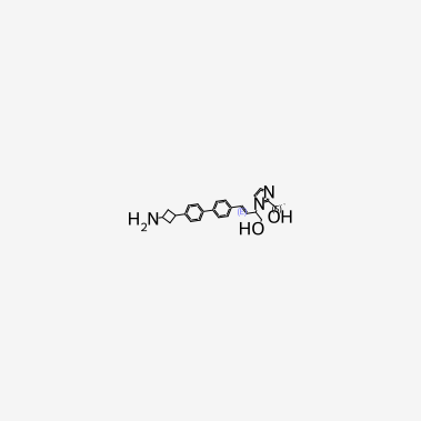 C[C@H](O)c1nccn1C(/C=C/c1ccc(-c2ccc(C3CC(N)C3)cc2)cc1)CO